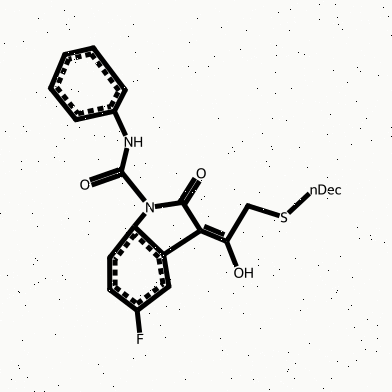 CCCCCCCCCCSCC(O)=C1C(=O)N(C(=O)Nc2ccccc2)c2ccc(F)cc21